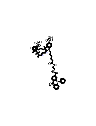 C=C(/C=C/C=C1/N(CCCCCC(=O)NCCNC(=O)c2ccc(C(=O)OC)c(P(c3ccccc3)c3ccccc3)c2)c2ccc(S(=O)(=O)O)cc2C1(C)CCCS(=O)(=O)O)C(C)(C)c1cc(S(=O)(=O)O)ccc1C